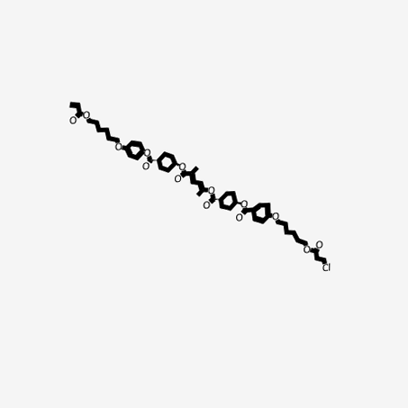 C=CC(=O)OCCCCCCOc1ccc(OC(=O)[C@H]2CC[C@H](OC(=O)/C(C)=C/C=C(\C)OC(=O)[C@H]3CC[C@H](OC(=O)c4ccc(OCCCCCCOC(=O)CCCl)cc4)CC3)CC2)cc1